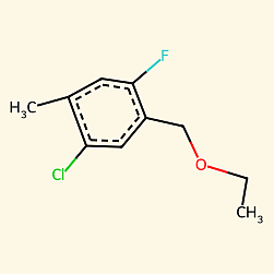 CCOCc1cc(Cl)c(C)cc1F